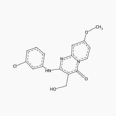 COc1ccn2c(=O)c(CO)c(Nc3cccc(Cl)c3)nc2c1